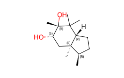 C[C@@H]1CC[C@H]2C(C)(C)[C@@](C)(O)[C@@H](O)C[C@]12C